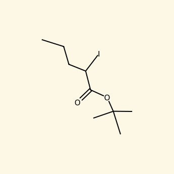 CCCC(I)C(=O)OC(C)(C)C